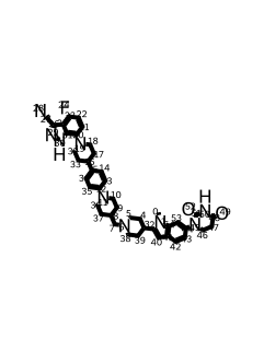 Cn1c(C2CCN(CC3CCN(c4ccc(C5CCN(c6ccc(F)c7c(C#N)n[nH]c67)CC5)cc4)CC3)CC2)cc2ccc(N3CCC(=O)NC3=O)cc21